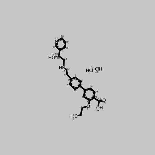 CCCOc1cc(-c2ccc(CCNC[C@H](O)c3cccnc3)cc2)ccc1C(=O)O.Cl.Cl